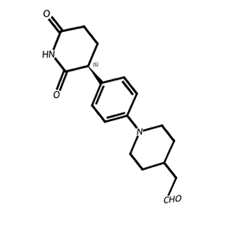 O=CCC1CCN(c2ccc([C@@H]3CCC(=O)NC3=O)cc2)CC1